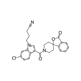 N#CCCCn1cc(C(=O)N2CCC3(CC2)OC(=O)c2ccccc23)c2ccc(Cl)cc21